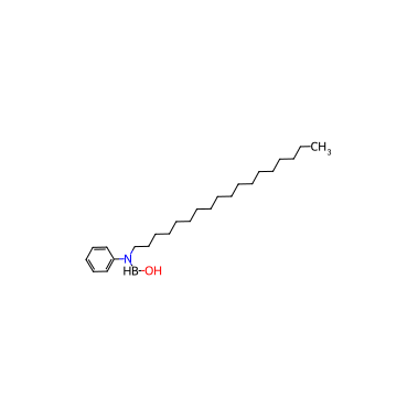 CCCCCCCCCCCCCCCCCCN(BO)c1ccccc1